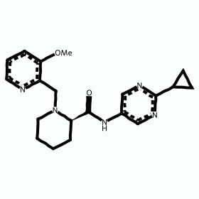 COc1cccnc1CN1CCCC[C@@H]1C(=O)Nc1cnc(C2CC2)nc1